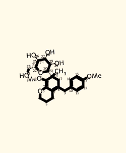 COC1=C2OCCCC2=C(Cc2ccc(OC)cc2)CC1(C)[C@@H]1O[C@H](CO)[C@H](O)[C@H](O)[C@@H]1O